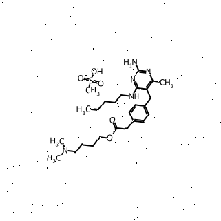 CCCCCNc1nc(N)nc(C)c1Cc1ccc(CC(=O)OCCCCN(C)C)cc1.CS(=O)(=O)O